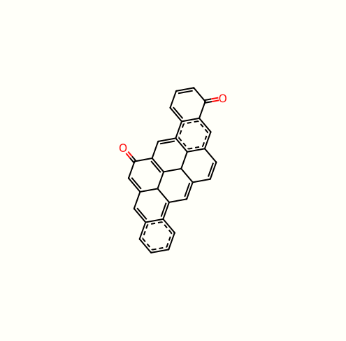 O=C1C=C2C=c3ccccc3=C3C=C4C=Cc5cc6c(c7c5C4C(=C1C=7)C23)=CC=CC6=O